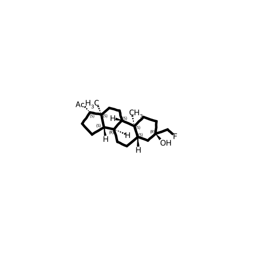 CC(=O)[C@H]1CC[C@H]2[C@@H]3CC[C@H]4C[C@@](O)(CF)CC[C@]4(C)[C@H]3CC[C@]12C